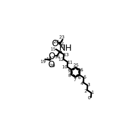 CCCCCCc1ccc(CCCCC(C)(COC(C)=O)NC(C)=O)cc1